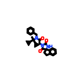 CC(C1CC1)(C1CC1)N(Cc1ccccc1)C(=O)CN1C(=O)NC2(CCc3ccccc32)C1=O